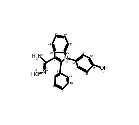 N/C(=N\O)c1c(-c2ccccc2)n(-c2ccc(O)cc2)c2ccccc12